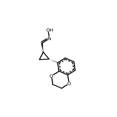 ON=C[C@@H]1C[C@H]1c1cccc2c1OCCO2